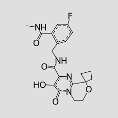 CNC(=O)c1cc(F)ccc1CNC(=O)c1nc2n(c(=O)c1O)CCOC21CCC1